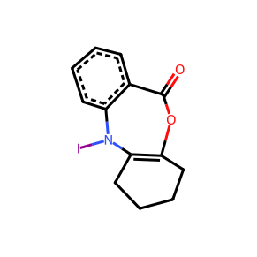 O=C1OC2=C(CCCC2)N(I)c2ccccc21